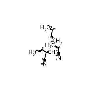 C=CC#N.C=CC(=C)C#N.C=CC=C